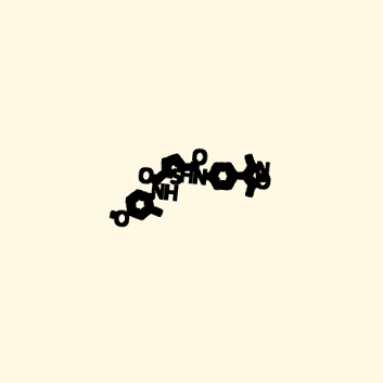 COc1ccc(NC(=O)c2ccc(C(=O)Nc3ccc(-c4c(C)noc4C)cc3)s2)c(C)c1